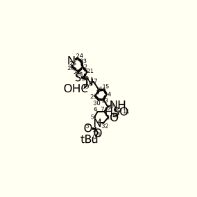 CC(C)(C)OC(=O)N1CCC(C(N[SH](=O)=O)c2ccc(CN(C=O)c3cc4ccncc4s3)cc2)CC1